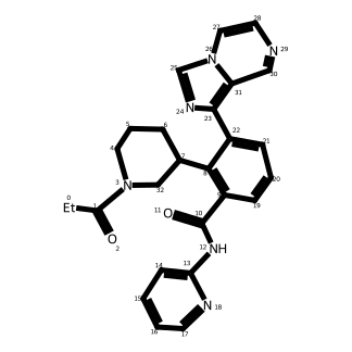 CCC(=O)N1CCCC(c2c(C(=O)Nc3ccccn3)cccc2-c2ncn3ccncc23)C1